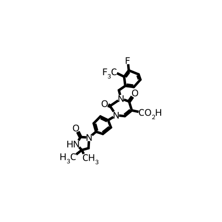 CC1(C)CN(c2ccc(-n3cc(C(=O)O)c(=O)n(Cc4cccc(F)c4C(F)(F)F)c3=O)cc2)C(=O)N1